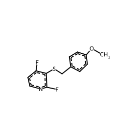 COc1ccc(CSc2c(F)ccnc2F)cc1